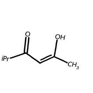 CC(O)=CC(=O)C(C)C